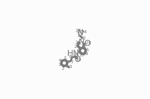 Cc1ccccc1CCC(=O)Nc1cccc2c(=O)n(CCN(C)C)ccc12